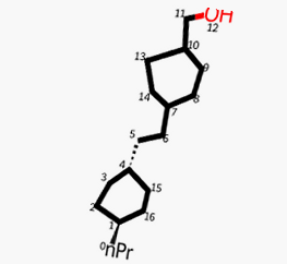 CCC[C@H]1CC[C@H](CCC2CCC(CO)CC2)CC1